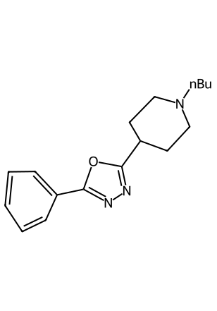 CCCCN1CCC(c2nnc(-c3ccccc3)o2)CC1